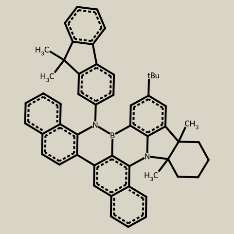 CC(C)(C)c1cc2c3c(c1)C1(C)CCCCC1(C)N3c1c3c(cc4ccccc14)-c1ccc4ccccc4c1N(c1ccc4c(c1)C(C)(C)c1ccccc1-4)B23